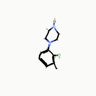 CCN1CCN(c2cccc(C)c2Cl)CC1